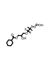 CC(C)(SOOO)C(F)(F)OCC(O)COC(=O)C1CCCCC1